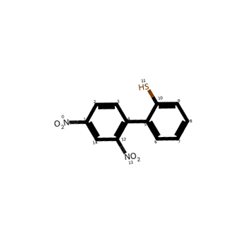 O=[N+]([O-])c1ccc(-c2ccccc2S)c([N+](=O)[O-])c1